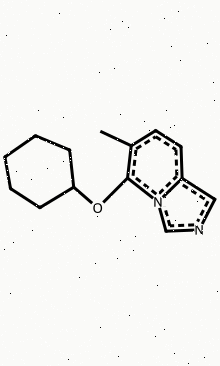 Cc1ccc2cncn2c1OC1CCCCC1